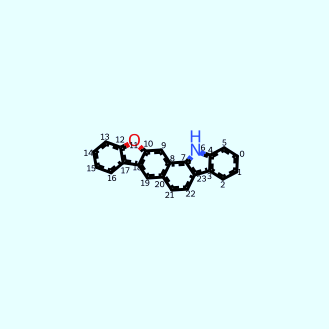 c1ccc2c(c1)[nH]c1c3cc4oc5ccccc5c4cc3ccc21